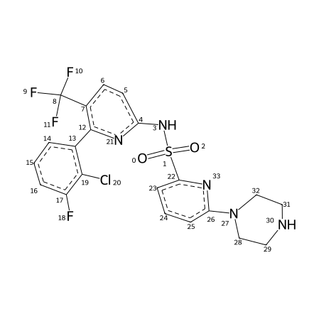 O=S(=O)(Nc1ccc(C(F)(F)F)c(-c2cccc(F)c2Cl)n1)c1cccc(N2CCNCC2)n1